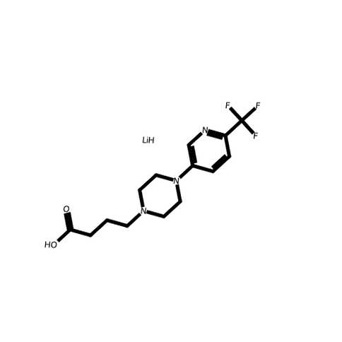 O=C(O)CCCN1CCN(c2ccc(C(F)(F)F)nc2)CC1.[LiH]